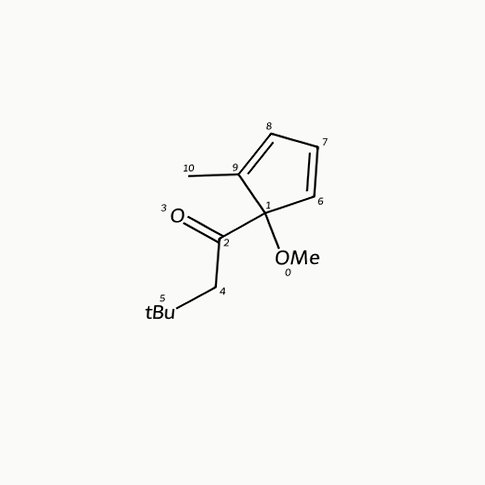 COC1(C(=O)CC(C)(C)C)C=CC=C1C